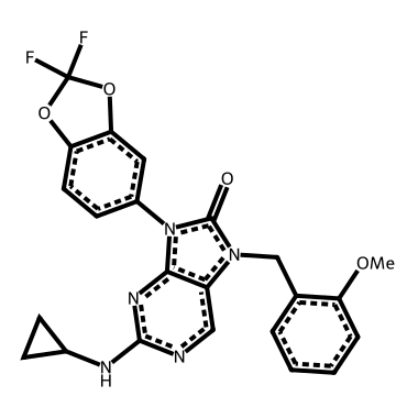 COc1ccccc1Cn1c(=O)n(-c2ccc3c(c2)OC(F)(F)O3)c2nc(NC3CC3)ncc21